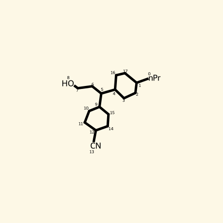 CCCC1CCC(C(CCO)C2CCC(C#N)CC2)CC1